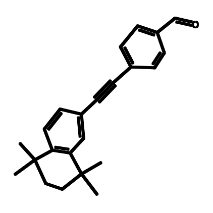 CC1(C)CCC(C)(C)c2cc(C#Cc3ccc(C=O)cc3)ccc21